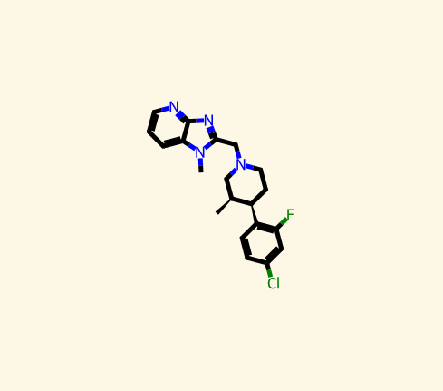 C[C@H]1CN(Cc2nc3ncccc3n2C)CC[C@H]1c1ccc(Cl)cc1F